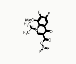 COc1c(F)c(F)cc2c(=O)c(C(=O)OB(F)F)cn([C@@H](C)C(F)(F)F)c12